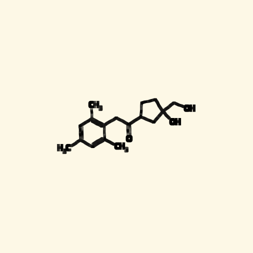 Cc1cc(C)c(CC(=O)C2CCC(O)(CO)C2)c(C)c1